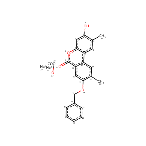 Cc1cc2c(cc1O)oc(=O)c1cc(OCc3ccccc3)c(C)cc12.O=C([O-])[O-].[Na+].[Na+]